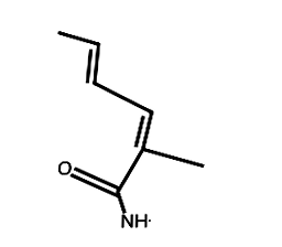 CC=CC=C(C)C([NH])=O